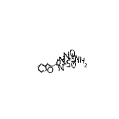 NS(=O)(=O)c1nn2cc(-c3cc4ccccc4o3)nc2s1